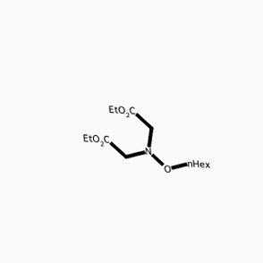 CCCCCCON(CC(=O)OCC)CC(=O)OCC